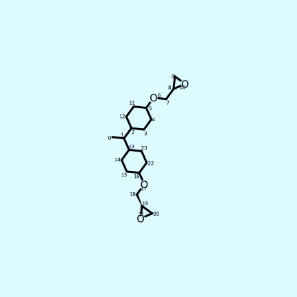 CC(C1CCC(OCC2CO2)CC1)C1CCC(OC[C@H]2CO2)CC1